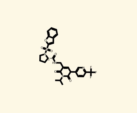 CC(C)N1C(=O)C(CNC(=O)[C@@H]2CCCN2S(=O)(=O)c2cc3ccccc3o2)=CC(c2ccc(C(F)(F)F)nc2)C1=O